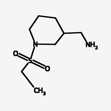 CCS(=O)(=O)N1CCCC(CN)C1